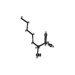 CCCCCN(O)[SH](=O)=O